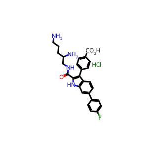 Cl.NCCCC(N)CNC(=O)c1[nH]c2cc(-c3ccc(F)cc3)ccc2c1-c1ccc(C(=O)O)cc1